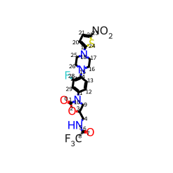 O=C1OC(CNC(=O)C(F)(F)F)CN1c1ccc(N2CCN(c3ccc([N+](=O)[O-])s3)CC2)c(F)c1